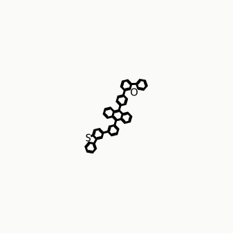 c1cc(-c2ccc3sc4ccccc4c3c2)cc(-c2c3ccccc3c(-c3ccc(-c4cccc5c4oc4ccccc45)cc3)c3ccccc23)c1